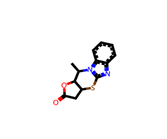 CC1C2OC(=O)CC2Sc2nc3ccccc3n21